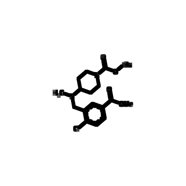 COC(=O)c1ccc(Cl)c(CN(C)C2CCN(C(=O)OC(C)(C)C)CC2)c1